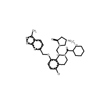 Cc1noc2nc(COc3ccc(Cl)c4c3[C@@H](CN3CCCC3=O)N(C(=O)C3CCCC[C@H]3C(=O)O)CC4)ccc12